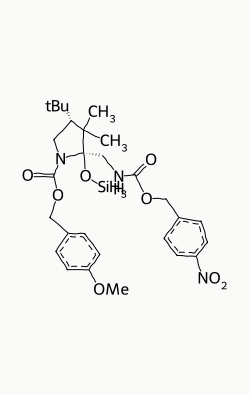 COc1ccc(COC(=O)N2C[C@H](C(C)(C)C)C(C)(C)[C@@]2(CNC(=O)OCc2ccc([N+](=O)[O-])cc2)O[SiH3])cc1